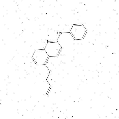 C=CCOc1cccc2nc(Nc3ccccc3)ccc12